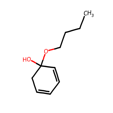 CCCCOC1(O)C=CC=CC1